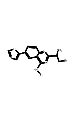 CCNc1nc(C(N)CC(C)C)nc2ccc(-c3cnco3)cc12